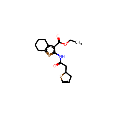 CCOC(=O)c1c(NC(=O)CC2CC=CS2)sc2c1CCCC2